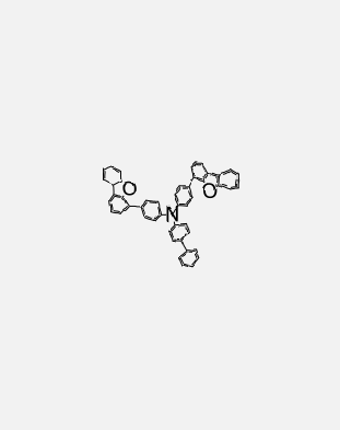 C1=CC2Oc3c(-c4ccc(N(c5ccc(-c6ccccc6)cc5)c5ccc(-c6cccc7c6oc6ccccc67)cc5)cc4)cccc3C2C=C1